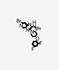 CC(C)Nc1nc2cc(Br)ncc2nc1N1CCC(Oc2ccc(F)cc2F)CC1